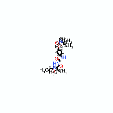 CCCC(=O)NC(C(=O)NCC(=O)Nc1ccc(COC(=O)N(C)C(C)C(C)C)cc1)C(C)C